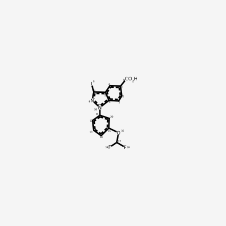 O=C(O)c1ccc2c(c1)c(I)nn2-c1cccc(OC(F)F)c1